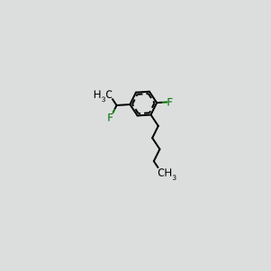 CCCCCc1cc(C(C)F)ccc1F